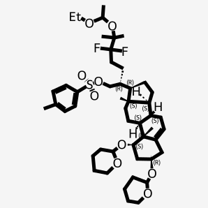 CCOC(C)OC(C)(C)C(F)(F)CC[C@@H](COS(=O)(=O)c1ccc(C)cc1)[C@H]1CC[C@H]2[C@@H]3CC=C4C[C@@H](OC5CCCCO5)C[C@H](OC5CCCCO5)[C@]4(C)[C@H]3CC[C@]12C